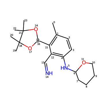 Cc1ccc(NC2CCCCO2)c(C=N)c1B1OC(C)(C)C(C)(C)O1